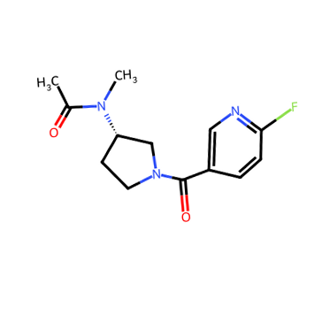 CC(=O)N(C)[C@H]1CCN(C(=O)c2ccc(F)nc2)C1